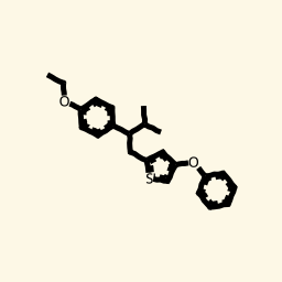 CCOc1ccc(C(Cc2cc(Oc3ccccc3)cs2)[C](C)C)cc1